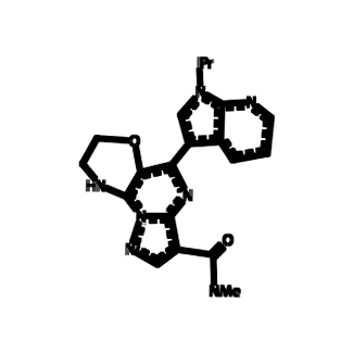 CNC(=O)c1cnn2c3c(c(-c4cn(C(C)C)c5ncccc45)nc12)OCCN3